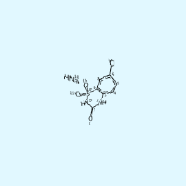 O=C1Nc2ccc(Cl)cc2S(=O)(=O)N1.[NaH]